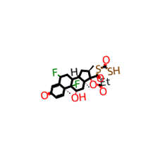 CCC(=O)O[C@]1(C(=O)SC(=O)S)[C@H](C)C[C@H]2C3C[C@H](F)C4=CC(=O)C=C[C@]4(C)[C@@]3(F)[C@@H](O)C[C@@]21C